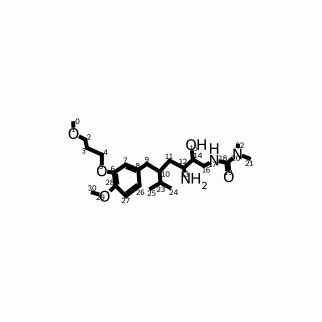 COCCCOc1cc(CC(CC(N)C(O)CNC(=O)N(C)C)C(C)C)ccc1OC